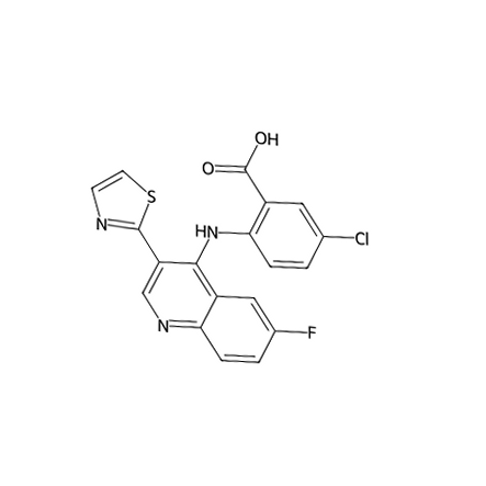 O=C(O)c1cc(Cl)ccc1Nc1c(-c2nccs2)cnc2ccc(F)cc12